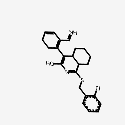 N=CC1=C(C2=C(O)N=C(SCc3ccccc3Cl)C3CCCCC23)CCC=C1